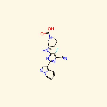 N#Cc1nc(-c2cnn3ccccc23)nc(N[C@@H]2CCCN(C(=O)O)C2)c1F